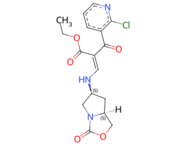 CCOC(=O)C(=CN[C@H]1C[C@H]2COC(=O)N2C1)C(=O)c1cccnc1Cl